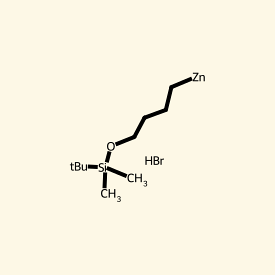 Br.CC(C)(C)[Si](C)(C)OCCC[CH2][Zn]